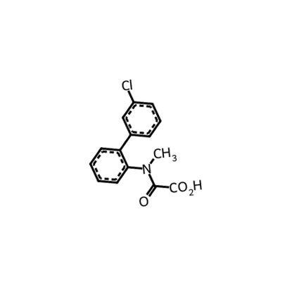 CN(C(=O)C(=O)O)c1ccccc1-c1cccc(Cl)c1